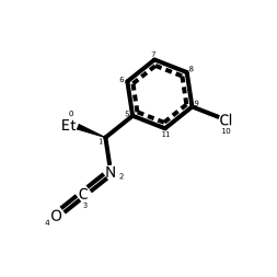 CC[C@H](N=C=O)c1cccc(Cl)c1